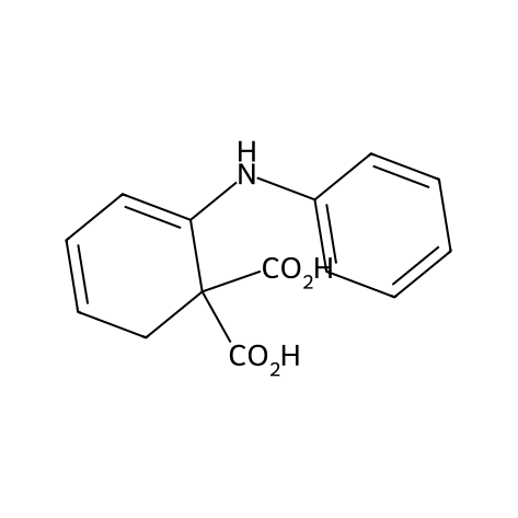 O=C(O)C1(C(=O)O)CC=CC=C1Nc1ccccc1